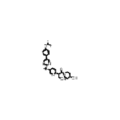 O=C(C(CO)c1ccc(Nc2ncc(-c3ccc(OC(F)F)cc3)cn2)cn1)N1CCC(O)CC1